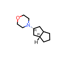 C1C[C]2C[C@@H](N3CCOCC3)C[C@H]2C1